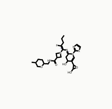 CCC/C(F)=C(\N=C1/CC(O)C(C2OC2O)=CN1c1nccs1)N1CC(C(=O)NCC2CCC(C)CO2)C1